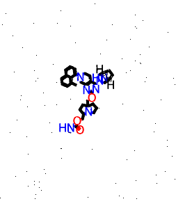 CNC(=O)OCC1CCC2(COc3nc4c(c(N5C[C@H]6CC[C@@H](C5)N6)n3)CCN(c3cccc5cccc(C)c35)C4)CCCN12